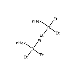 CCCCCC[B-](CC)(CC)CC.CCCCCC[N+](CC)(CC)CC